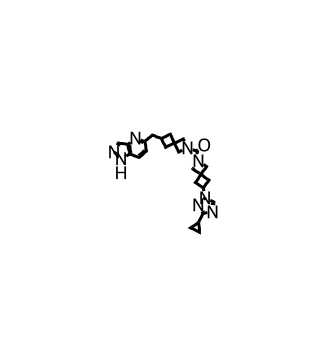 O=C(N1CC2(CC(Cc3ccc4[nH]ncc4n3)C2)C1)N1CC2(CC(n3cnc(C4CC4)n3)C2)C1